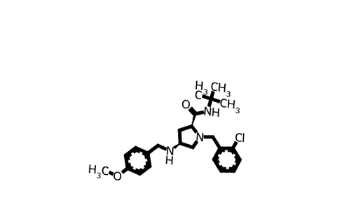 COc1ccc(CN[C@H]2C[C@@H](C(=O)NC(C)(C)C)N(Cc3ccccc3Cl)C2)cc1